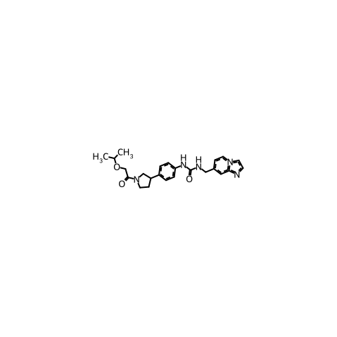 CC(C)OCC(=O)N1CCC(c2ccc(NC(=O)NCc3ccn4ccnc4c3)cc2)C1